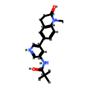 CN1C(=O)CCc2cc(-c3cncc(NC(=O)C(C)(C)C)c3)ccc21